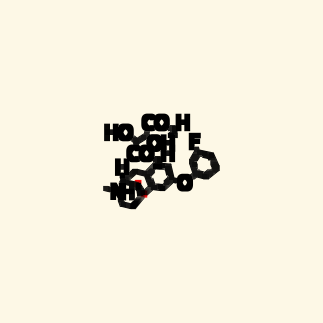 CN1CC[C@]23CCCC[C@H]2[C@H]1Cc1ccc(Oc2cccc(F)c2)cc13.O=C(O)C(O)C(O)C(=O)O